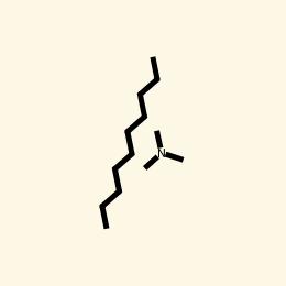 CCCCCCCCCC.CN(C)C